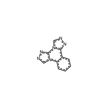 c1ccc2c(c1)c1nncn1c1nncn21